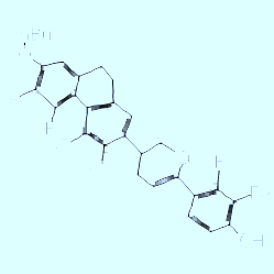 CCCCOc1cc2c(c(F)c1F)-c1c(cc(C3CC=C(c4ccc(C)c(F)c4F)OC3)c(F)c1F)CC2